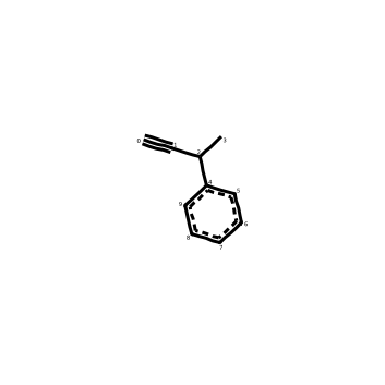 C#CC(C)c1c[c]ccc1